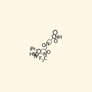 CC(C)c1cc2c(c3cn[nH]c13)CN(CC(F)(F)F)C(=O)C(CC(=O)N1CCC(c3cc4ccccc4[nH]c3=O)CC1)C2